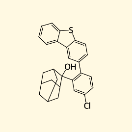 OC1(c2cc(Cl)ccc2-c2ccc3sc4ccccc4c3c2)C2CC3CC(C2)CC1C3